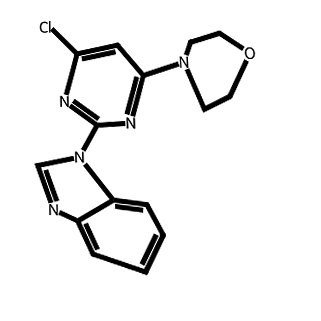 Clc1cc(N2CCOCC2)nc(-n2cnc3ccccc32)n1